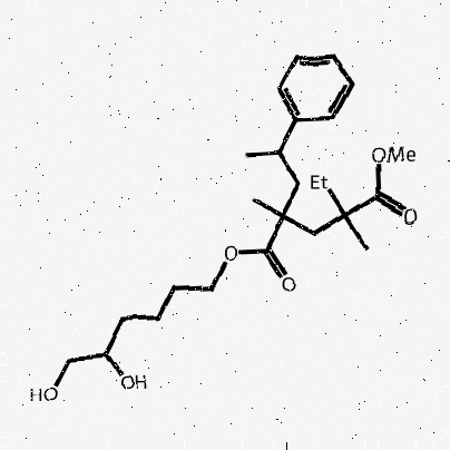 CCC(C)(CC(C)(CC(C)c1ccccc1)C(=O)OCCCCC(O)CO)C(=O)OC